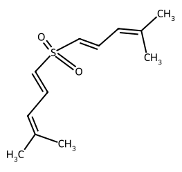 CC(C)=CC=CS(=O)(=O)C=CC=C(C)C